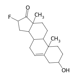 CC12CCC3C(CC=C4CC(O)CCC43C)C1CC(F)C2=O